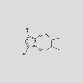 CC1COc2c(Br)sc(Br)c2OCC1C